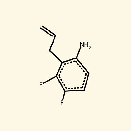 C=CCc1c(N)ccc(F)c1F